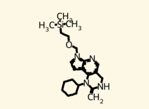 C=C1NCc2cnc3c(ccn3COCC[Si](C)(C)C)c2N1C1CCCCC1